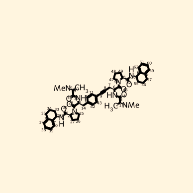 CN[C@@H](C)C(=O)N[C@@H](CC#Cc1ccc(C[C@H](NC(=O)[C@H](C)NC)C(=O)N2CCC[C@H]2C(=O)N[C@@H]2CCCc3ccccc32)cc1)C(=O)N1CCC[C@H]1C(=O)N[C@@H]1CCCc2ccccc21